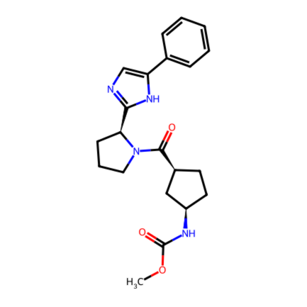 COC(=O)N[C@@H]1CC[C@H](C(=O)N2CCC[C@H]2c2ncc(-c3ccccc3)[nH]2)C1